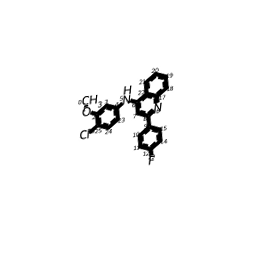 COc1cc(Nc2cc(-c3ccc(F)cc3)nc3ccccc23)ccc1Cl